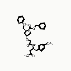 Cc1ccc(C[C@@H](CC(=O)O)NC(=O)CO[C@@H]2C[C@@H](CNc3ccccn3)N(C(=O)OCc3ccccc3)C2)cc1